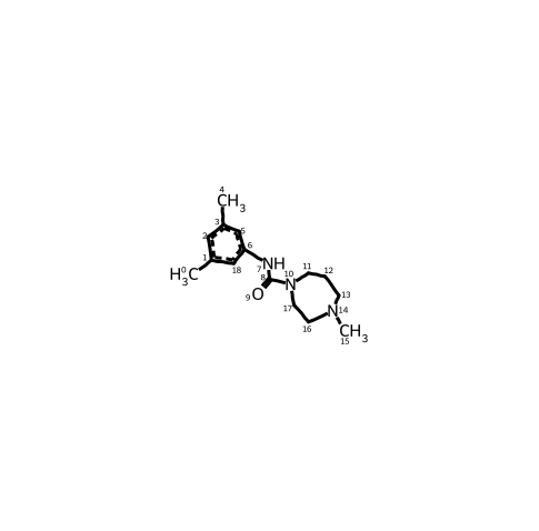 Cc1cc(C)cc(NC(=O)N2CCCN(C)CC2)c1